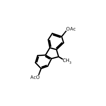 CC(=O)Oc1ccc2c(c1)C(C)c1cc(OC(C)=O)ccc1-2